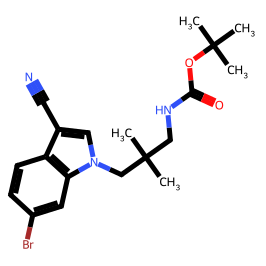 CC(C)(CNC(=O)OC(C)(C)C)Cn1cc(C#N)c2ccc(Br)cc21